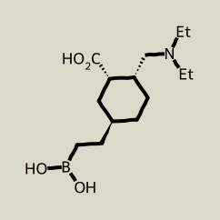 CCN(CC)C[C@@H]1CC[C@@H](CCB(O)O)C[C@@H]1C(=O)O